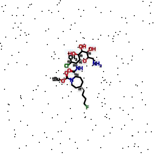 C[C@H](Cl)[C@@H](NC(=O)[C@@H]1CC[C@H](CCCCF)CCN1C(=O)OC(C)(C)C)[C@H]1OC(CN)[C@H](O)C(O)[C@@H]1O